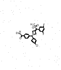 CCNC(=O)c1ccc(C(c2ccc(Cl)cc2)N2CC(=C(c3cc(F)cc(F)c3)S(C)(=O)=O)C2)cc1